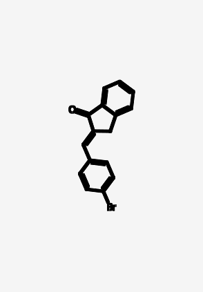 O=C1/C(=C/c2ccc(Br)cc2)Cc2ccccc21